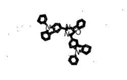 c1ccc(-n2c3ccccc3c3cc(-c4nc(-c5ccc6c(c5)c5ccccc5n6-c5ccccc5)c5oc6ccccc6c5n4)ccc32)cc1